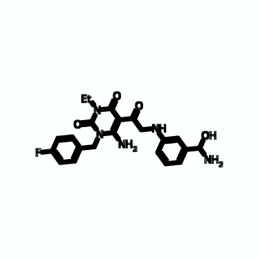 CCn1c(=O)c(C(=O)CNc2cccc(C(N)O)c2)c(N)n(Cc2ccc(F)cc2)c1=O